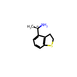 C[C@@H](N)c1cccc2c1CCS2